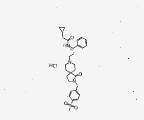 CS(=O)(=O)c1ccc(CN2CCC3(CCN(CC[C@H](NC(=O)CC4CC4)c4ccccc4)CC3)C2=O)cc1.Cl